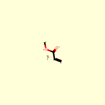 C=CC(=O)OC.[Ti]